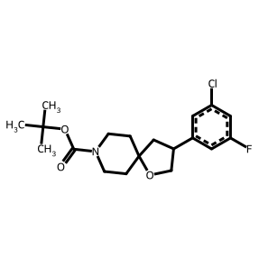 CC(C)(C)OC(=O)N1CCC2(CC1)CC(c1cc(F)cc(Cl)c1)CO2